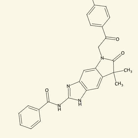 COc1ccc(C(=O)CN2C(=O)C(C)(C)c3cc4[nH]c(NC(=O)c5ccccc5)nc4cc32)cc1